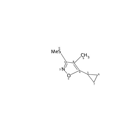 CSc1noc(C2CC2)c1C